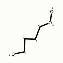 [O]CCCCO[O]